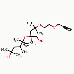 C#CCOCCOC(C)(C)CC(C)(CO)OC(C)(C)C(C)CC(C)(C)O